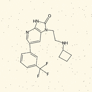 O=c1[nH]c2ncc(-c3cccc(C(F)(F)F)c3)cc2n1CCNC1CCC1